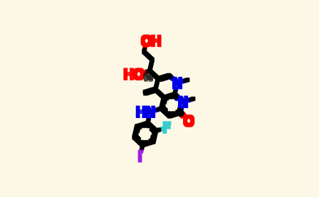 C=C1C([C@@H](O)CCO)=CN(C)c2c1c(Nc1ccc(I)cc1F)cc(=O)n2C